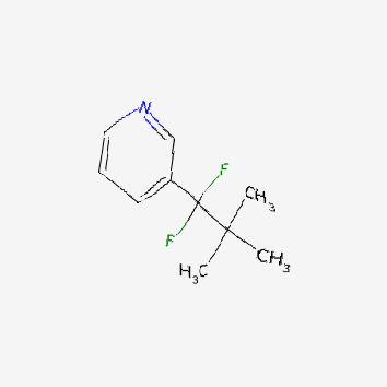 CC(C)(C)C(F)(F)c1cccnc1